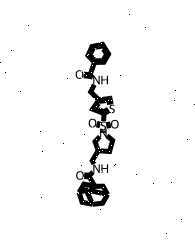 O=C(NCc1csc(S(=O)(=O)N2CCC(CNC(=O)C34CC5CC(CC(C5)C3)C4)C2)c1)c1ccccc1